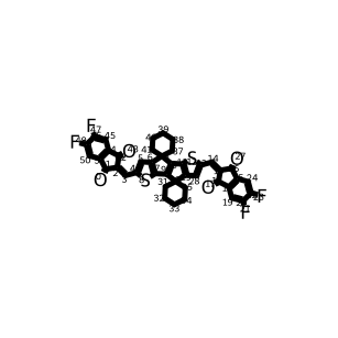 O=C1C(=Cc2cc3c(s2)C2=C(c4sc(C=C5C(=O)c6cc(F)c(F)cc6C5=O)cc4C24CCCCC4)C32CCCCC2)C(=O)c2cc(F)c(F)cc21